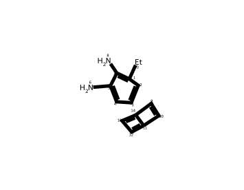 CCc1cccc(N)c1N.c1cc2ccc1-2